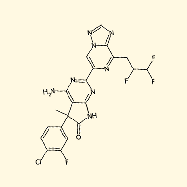 CC1(c2ccc(Cl)c(F)c2)C(=O)Nc2nc(-c3cn4ncnc4c(CC(F)C(F)F)n3)nc(N)c21